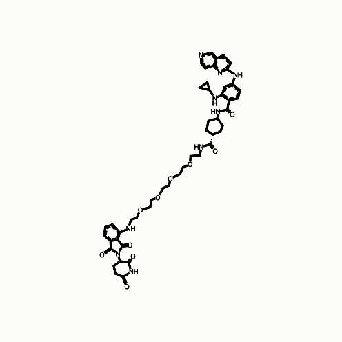 O=C1CCC(N2C(=O)c3cccc(NCCOCCOCCOCCOCCNC(=O)[C@H]4CC[C@H](NC(=O)c5ccc(Nc6ccc7cnccc7n6)cc5NC5CC5)CC4)c3C2=O)C(=O)N1